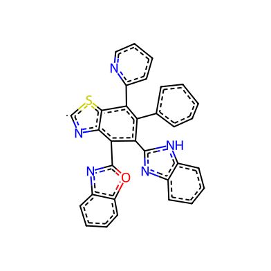 [c]1nc2c(-c3nc4ccccc4o3)c(-c3nc4ccccc4[nH]3)c(-c3ccccc3)c(-c3ccccn3)c2s1